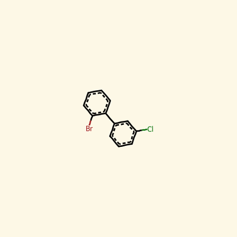 Clc1cccc(-c2ccccc2Br)c1